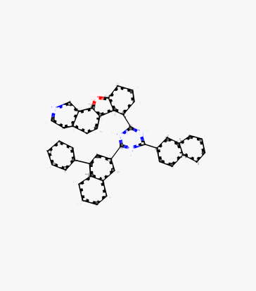 c1ccc(-c2cc(-c3nc(-c4ccc5ccccc5c4)nc(-c4cccc5oc6c7cnccc7ccc6c45)n3)cc3ccccc23)cc1